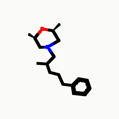 CC(CCCc1ccccc1)CN1C[C@@H](C)O[C@@H](C)C1